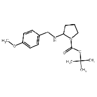 COc1ccc(CNC2CCCN2C(=O)OC(C)(C)C)cc1